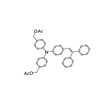 CC(=O)OCc1ccc(N(c2ccc(C=C(c3ccccc3)c3ccccc3)cc2)c2ccc(COC(C)=O)cc2)cc1